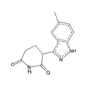 Cc1ccc2[nH]nc(C3CCC(=O)NC3=O)c2c1